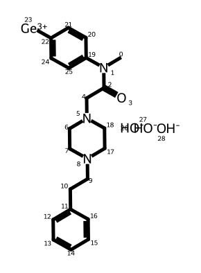 CN(C(=O)CN1CCN(CCc2ccccc2)CC1)c1cc[c]([Ge+3])cc1.[OH-].[OH-].[OH-]